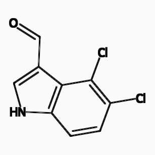 O=Cc1c[nH]c2ccc(Cl)c(Cl)c12